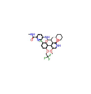 CNC(=O)c1ccc(NC(=O)C(C[C@@H]2CCCCO2)c2c(-c3cc(Cl)ccc3OCC(F)(F)F)c(OC)c[nH]c2=O)cn1